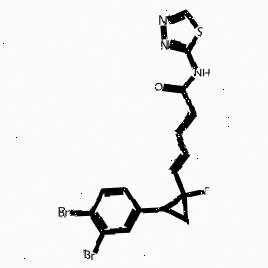 O=C(/C=C/C=C/C1(F)CC1c1ccc(Br)c(Br)c1)Nc1nncs1